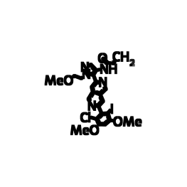 C=CC(=O)Nc1cnn(CCOC)c1-c1cc2cnc(-c3c(Cl)c(OC)cc(OC)c3I)cc2cn1